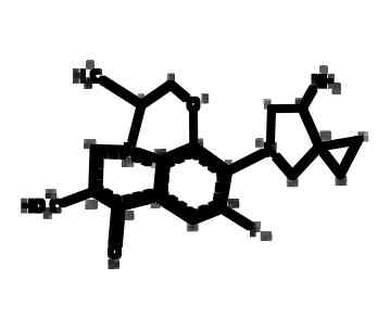 CC1COc2c(N3CC(N)C4(CC4)C3)c(F)cc3c(=O)c(C(=O)O)cn1c23